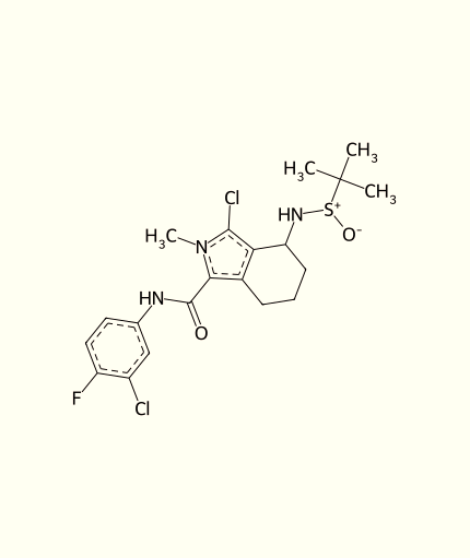 Cn1c(Cl)c2c(c1C(=O)Nc1ccc(F)c(Cl)c1)CCCC2N[S+]([O-])C(C)(C)C